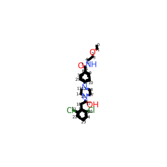 CCOCCNC(=O)c1ccc(N2CCN(C(O)Cc3c(Cl)cccc3Cl)CC2)cc1